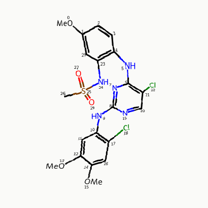 COc1ccc(Nc2nc(Nc3cc(OC)c(OC)cc3Cl)ncc2Cl)c(NS(C)(=O)=O)c1